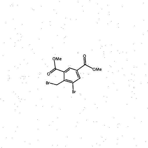 COC(=O)c1cc(Br)c(CBr)c(C(=O)OC)c1